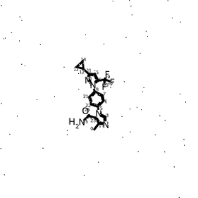 Cc1ncn(-c2ccc(-n3nc(C4CC4)cc3C(F)(F)F)cc2)c1C(N)=O